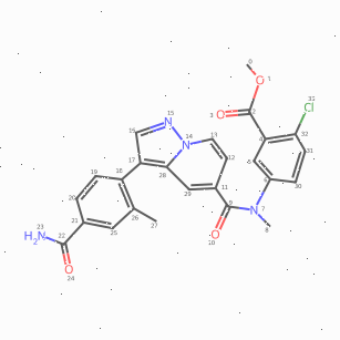 COC(=O)c1cc(N(C)C(=O)c2ccn3ncc(-c4ccc(C(N)=O)cc4C)c3c2)ccc1Cl